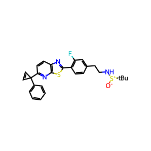 CC(C)(C)[S+]([O-])NCCc1ccc(-c2nc3ccc(C4(c5ccccc5)C=C4)nc3s2)c(F)c1